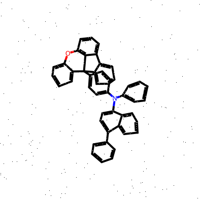 c1ccc(-c2ccc(N(c3ccccc3)c3ccc(C45c6ccccc6Oc6cccc(c64)-c4ccccc45)cc3)c3ccccc23)cc1